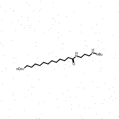 CCCCCCCCCCCCCCCCCCCCCC(=O)NCCCNCCCC